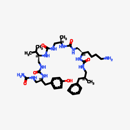 CC(C)[C@@H](CNC(=O)N[C@H](CNC(N)=O)Cc1ccc(O)cc1)NC(=O)NC[C@H](C)NC(=O)NC[C@H](CCCCN)NC(=O)NC[C@@H](C)Cc1ccccc1